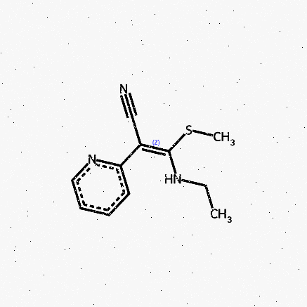 CCN/C(SC)=C(/C#N)c1ccccn1